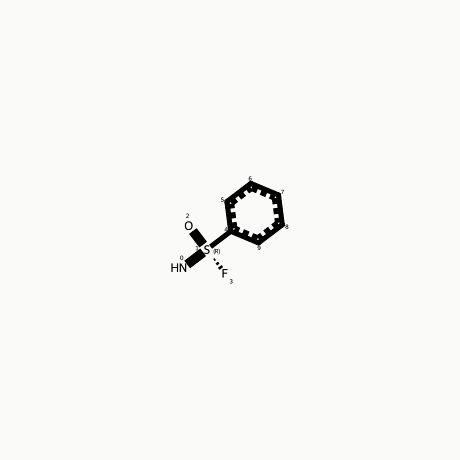 N=[S@](=O)(F)c1ccccc1